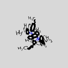 CCCCc1cc(C)c(N(c2ccc(C)cc2)c2c3ccccc3c(N(c3ccc(C)cc3)c3c(C)cc(CCCC)cc3C)c3ccccc23)c(C)c1